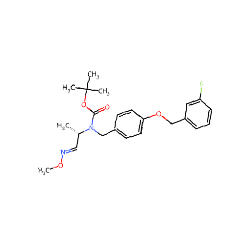 CO/N=C/[C@H](C)N(Cc1ccc(OCc2cccc(F)c2)cc1)C(=O)OC(C)(C)C